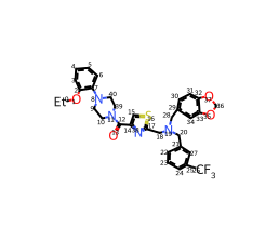 CCOc1ccccc1N1CCN(C(=O)c2csc(CN(Cc3cccc(C(F)(F)F)c3)Cc3ccc4c(c3)OCO4)n2)CC1